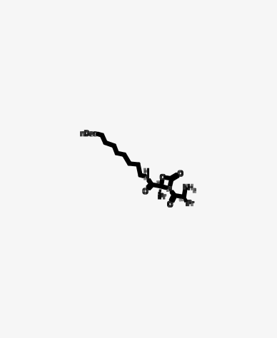 CCCCCCCCCCCCCCCCCCNC(=O)[C@@]1(C(C)C)OC(=O)N1C(=O)[C@@H](N)C(C)C